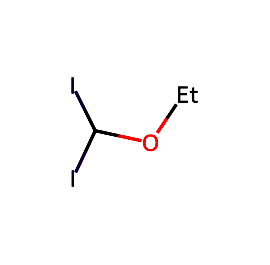 CCOC(I)I